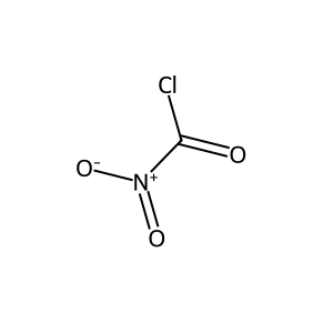 O=C(Cl)[N+](=O)[O-]